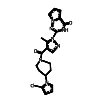 Cc1c(C(=O)N2CCC(n3cccc3Cl)CC2)cnn1-c1nn2cccc2c(=O)[nH]1